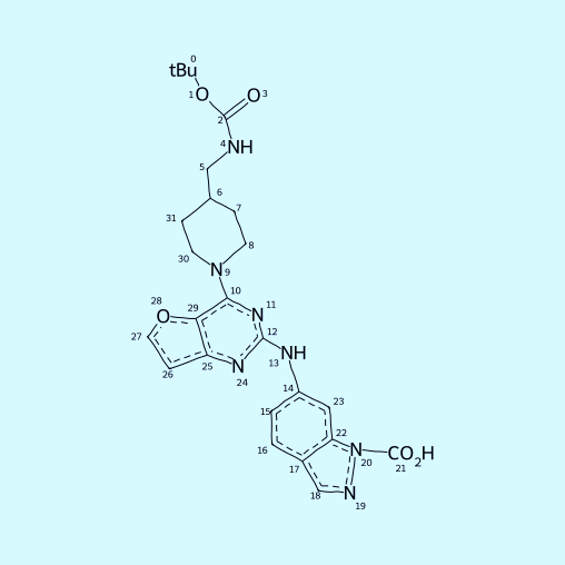 CC(C)(C)OC(=O)NCC1CCN(c2nc(Nc3ccc4cnn(C(=O)O)c4c3)nc3ccoc23)CC1